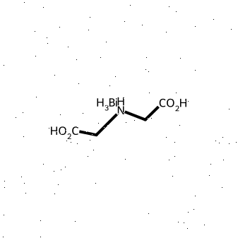 O=C(O)CNCC(=O)O.[BiH3]